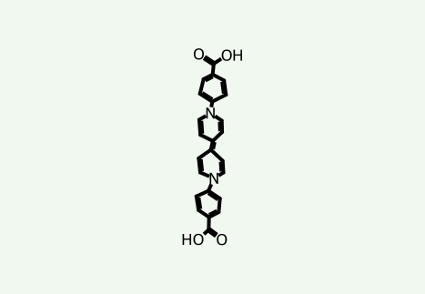 O=C(O)c1ccc(N2C=CC(=C3C=CN(c4ccc(C(=O)O)cc4)C=C3)C=C2)cc1